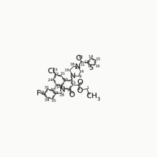 CCOC(=O)c1c(N2CCN(C(=O)c3cccs3)CC2)c2cc(Cl)ccc2n(Cc2ccc(F)cc2)c1=O